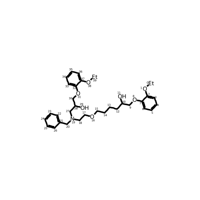 CCOc1ccccc1OCC(O)CCCCOCCN(Cc1ccccc1)CC(O)COc1ccccc1OCC